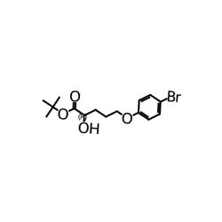 CC(C)(C)OC(=O)[C@H](O)CCCOc1ccc(Br)cc1